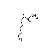 CC/C=C/CCCC(C)C(N)=O